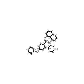 Cc1cccc2ccnc(N(C(=O)c3ccc(Oc4ncccn4)cc3F)C3CCCNC3)c12